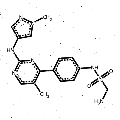 Cc1cnc(Nc2cnn(C)c2)nc1-c1ccc(NS(=O)(=O)CN)cc1